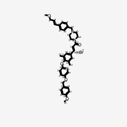 Br.COCC=Cc1ccc(CN2CCN(C(=O)C=Cc3cc(C)c(Oc4ccc(OCc5ccc(OC)cc5)cn4)c(C)c3)CC2)cc1